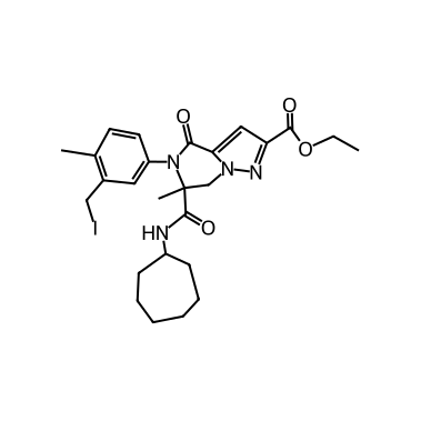 CCOC(=O)c1cc2n(n1)CC(C)(C(=O)NC1CCCCCC1)N(c1ccc(C)c(CI)c1)C2=O